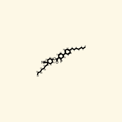 CCCCCCCc1ccc(-c2ccc(C(=O)OC3CCC(C#N)(CCCCCCC)CC3)c(F)c2)cc1